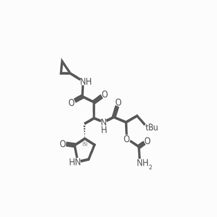 CC(C)(C)CC(OC(N)=O)C(=O)NC(C[C@@H]1CCNC1=O)C(=O)C(=O)NC1CC1